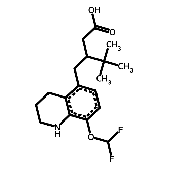 CC(C)(C)C(CC(=O)O)Cc1ccc(OC(F)F)c2c1CCCN2